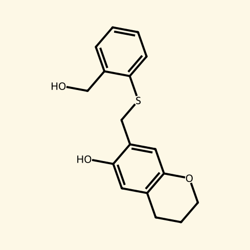 OCc1ccccc1SCc1cc2c(cc1O)CCCO2